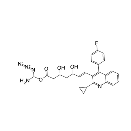 [N-]=[N+]=NC(N)OC(=O)C[C@H](O)C[C@H](O)/C=C/c1c(C2CC2)nc2ccccc2c1-c1ccc(F)cc1